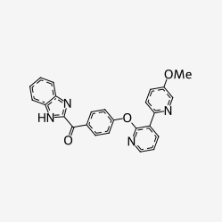 COc1ccc(-c2cccnc2Oc2ccc(C(=O)c3nc4ccccc4[nH]3)cc2)nc1